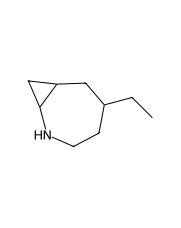 CCC1CCNC2CC2C1